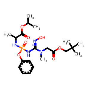 CC(C)OC(=O)C(C)NP(=O)(N/C(=N/O)N(C)CC(=O)OCC(C)(C)C)Oc1ccccc1